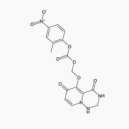 Cc1cc([N+](=O)[O-])ccc1OC(=O)OCOc1c2n(ccc1=O)NCNC2=O